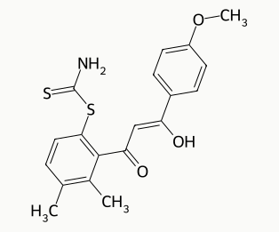 COc1ccc(C(O)=CC(=O)c2c(SC(N)=S)ccc(C)c2C)cc1